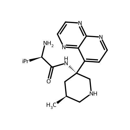 CC(C)[C@@H](N)C(=O)N[C@]1(c2ccnc3nccnc23)CNC[C@@H](C)C1